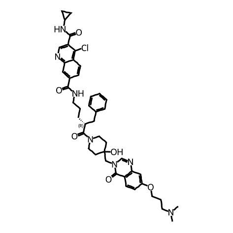 CN(C)CCCOc1ccc2c(=O)n(CC3(O)CCN(C(=O)[C@H](CCCNC(=O)c4ccc5c(Cl)c(C(=O)NC6CC6)cnc5c4)Cc4ccccc4)CC3)cnc2c1